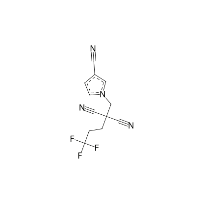 N#Cc1ccn(CC(C#N)(C#N)CCC(F)(F)F)c1